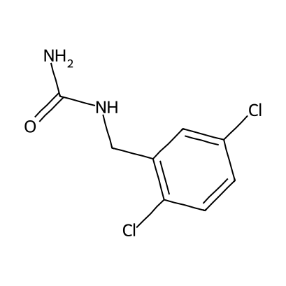 NC(=O)NCc1cc(Cl)ccc1Cl